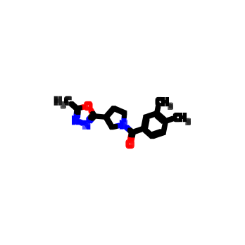 Cc1nnc(C2CCN(C(=O)c3ccc(C)c(C)c3)C2)o1